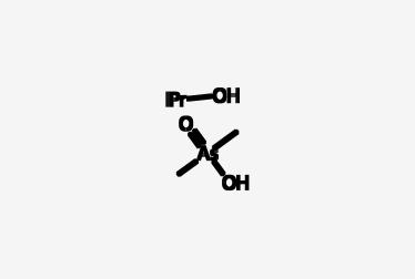 CC(C)O.C[As](C)(=O)O